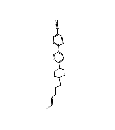 N#Cc1ccc(-c2ccc(C3CCC(CCC/C=C/F)CC3)cc2)cc1